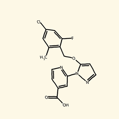 Cc1cc(Cl)cc(F)c1COc1ccnn1-c1cc(C(=O)O)ccn1